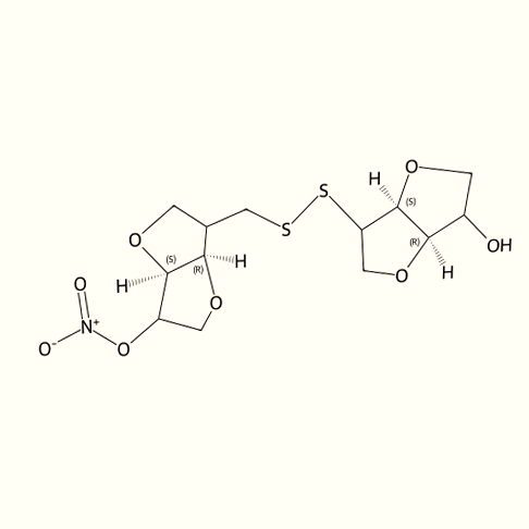 O=[N+]([O-])OC1CO[C@@H]2C(CSSC3CO[C@@H]4C(O)CO[C@H]34)CO[C@H]12